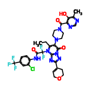 CCc1c(N2CCN(C(=O)c3ncnc(C)c3O)CC2)c(=O)n2nc(C3=CCOCC3)nc2n1C(F)(F)C(=O)Nc1ccc(C(F)(F)F)cc1Cl